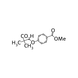 COC(=O)c1ccc(OCC(C)(C)C(=O)O)cc1